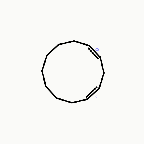 [CH]1CCC/C=C\C/C=C\CCC1